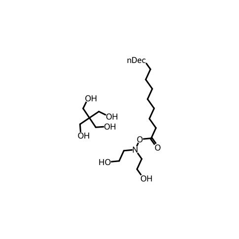 CCCCCCCCCCCCCCCCCC(=O)ON(CCO)CCO.OCC(CO)(CO)CO